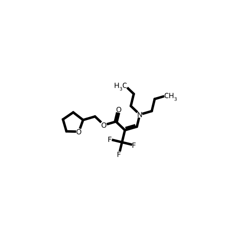 CCCN(/C=C(\C(=O)OCC1CCCO1)C(F)(F)F)CCC